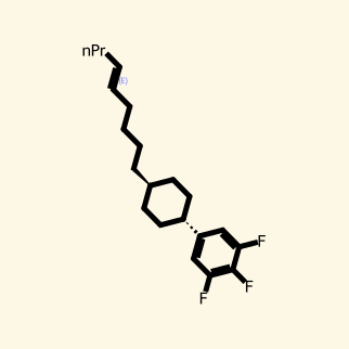 CCC/C=C/CCCC[C@H]1CC[C@H](c2cc(F)c(F)c(F)c2)CC1